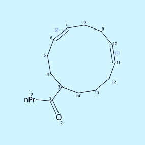 CCCC(=O)C1CC/C=C\CC/C=C\CCC1